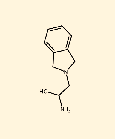 NC(O)CN1Cc2ccccc2C1